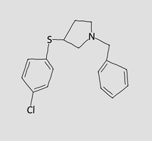 Clc1ccc(SC2CCN(Cc3ccccc3)C2)cc1